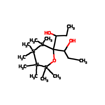 CCC(O)C1(C(O)CC)O[Si](C)(C)[Si](C)(C)[Si](C)(C)[Si]1(C)C